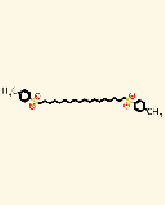 Cc1ccc(S(=O)(=O)CCCCCCCCCCCCCCCCCCS(=O)(=O)c2ccc(C)cc2)cc1